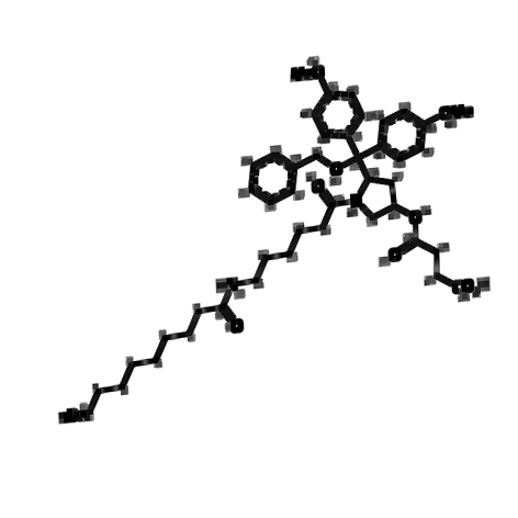 CCCCCCCCCCCCCCCCCC(=O)NCCCCCC(=O)N1CC(OC(=O)CCC(=O)O)CC1C(OCc1ccccc1)(c1ccc(OC)cc1)c1ccc(OC)cc1